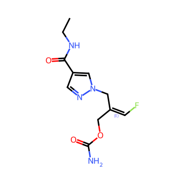 CCNC(=O)c1cnn(C/C(=C\F)COC(N)=O)c1